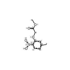 COC(=O)COc1cc(C)ccc1[SH](=O)=O